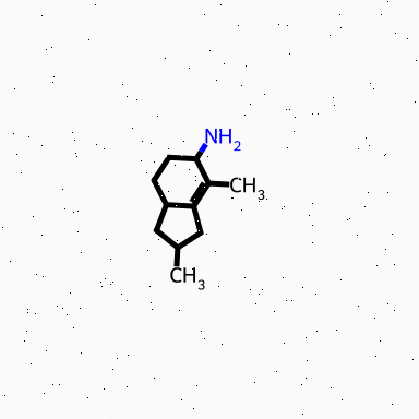 CC1=C2CC(C)CC2CCC1N